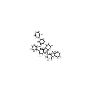 c1ccc(-c2cccc(-n3c4ccccc4c4ccc5c(c6ccccc6n5-c5cccc6c5oc5ccccc56)c43)c2)cc1